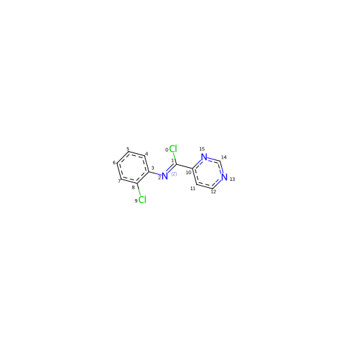 Cl/C(=N\c1ccccc1Cl)c1ccncn1